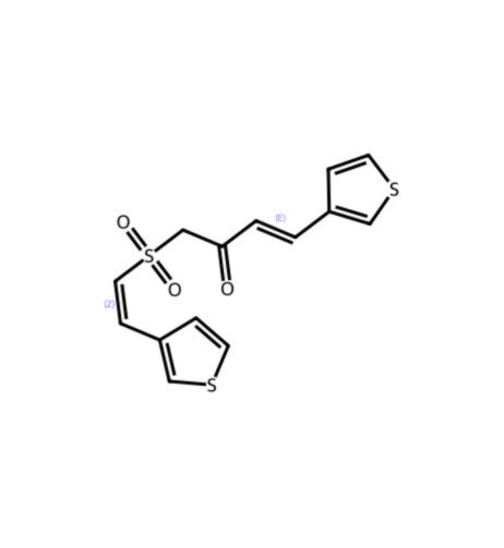 O=C(/C=C/c1ccsc1)CS(=O)(=O)/C=C\c1ccsc1